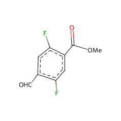 COC(=O)c1cc(F)c(C=O)cc1F